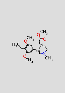 CCc1c(OC)cc([C@@H]2CN(C)CC[C@@H]2CC(=O)OC)cc1OC